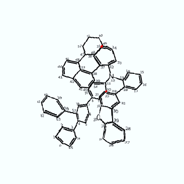 c1ccc(-c2ccc(-c3ccc(N(c4ccccc4-c4ccc5oc6ccccc6c5c4)c4ccccc4-c4cccc5cccc(C6CCCCC6)c45)cc3)cc2-c2ccccc2)cc1